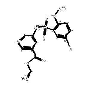 CCOC(=O)c1cncc(NS(=O)(=O)c2cc(Cl)ccc2OC)c1